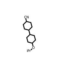 CC(C)OC1CCC(C2CCC(C#N)CC2)CC1